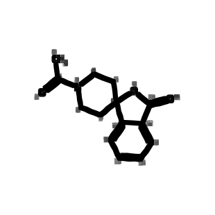 CC(=O)N1CCC2(CC1)OC(=O)c1ccccc12